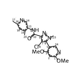 COc1cc(OC)c(-c2c(Cl)c(C(=O)Nc3cnc(C)cc3C)nn2C)cn1